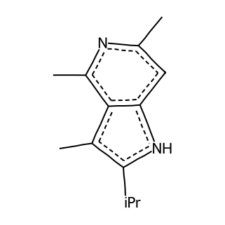 Cc1cc2[nH]c(C(C)C)c(C)c2c(C)n1